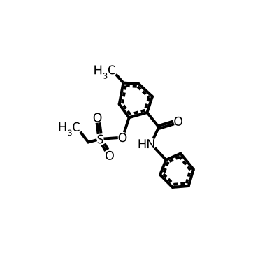 CCS(=O)(=O)Oc1cc(C)ccc1C(=O)Nc1ccccc1